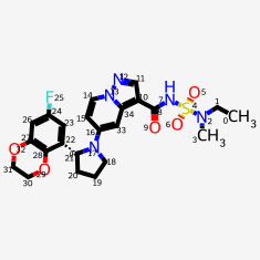 CCN(C)S(=O)(=O)NC(=O)c1cnn2ccc(N3CCC[C@@H]3c3cc(F)cc4c3OCCO4)cc12